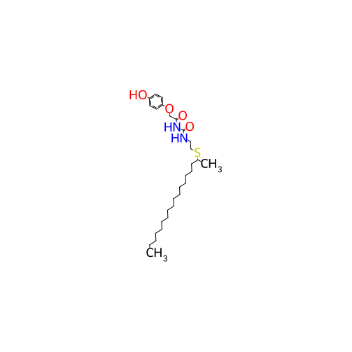 CCCCCCCCCCCCCCCCC(C)SCCNC(=O)NC(=O)COc1ccc(O)cc1